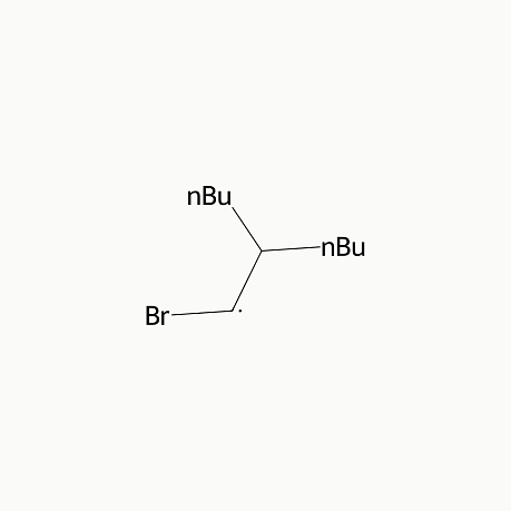 CCCCC([CH]Br)CCCC